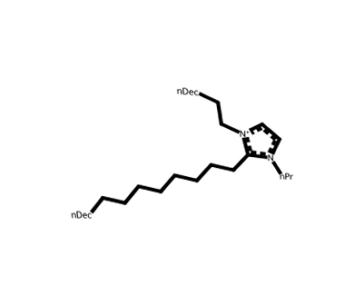 CCCCCCCCCCCCCCCCCCc1n(CCC)cc[n+]1CCCCCCCCCCCC